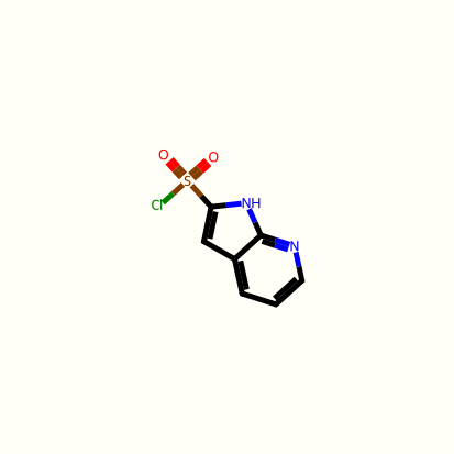 O=S(=O)(Cl)c1cc2cccnc2[nH]1